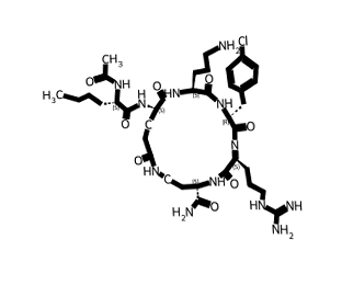 CCCC[C@H](NC(C)=O)C(=O)N[C@H]1CCC(=O)NCC[C@@H](C(N)=O)NC(=O)[C@H](CCCNC(=N)N)NC(=O)[C@@H](Cc2ccc(Cl)cc2)NC(=O)[C@H](CCCN)NC1=O